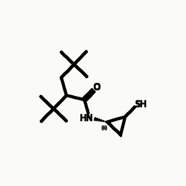 CC(C)(C)CC(C(=O)N[C@H]1CC1S)C(C)(C)C